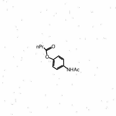 [CH2]CCC(=O)Oc1ccc(NC(C)=O)cc1